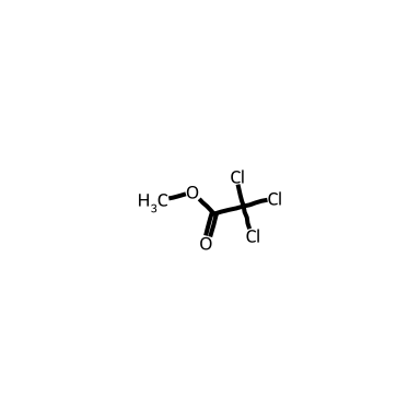 COC(=O)C(Cl)(Cl)Cl